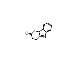 O=C1CCC2=Nc3ccccc3C2C1